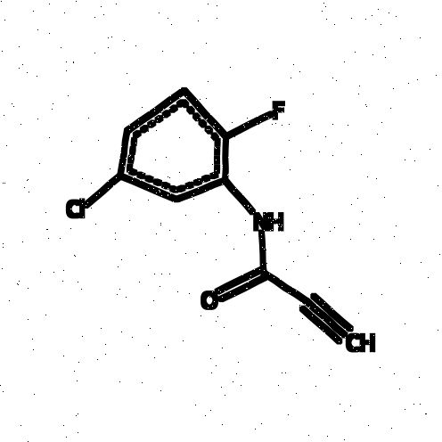 C#CC(=O)Nc1cc(Cl)ccc1F